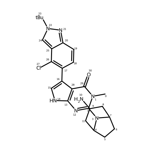 Cn1c(N2C3CCC2CC(N)C3)nc2[nH]cc(-c3ccc4nn(C(C)(C)C)cc4c3Cl)c2c1=O